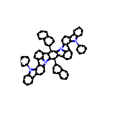 c1ccc(-n2c3ccccc3c3ccc4c(c5cccc6c7c(-c8ccc9ccccc9c8)c8c(c(-c9ccc%10ccccc%10c9)c7n4c65)c4cccc5c6c7c(ccc6n8c45)c4ccccc4n7-c4ccccc4)c32)cc1